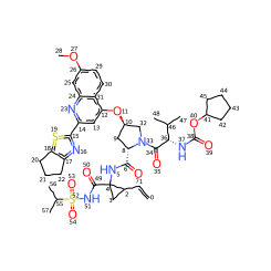 C=CC1CC1(NC(=O)[C@@H]1C[C@@H](Oc2cc(-c3nc4c(s3)CCC4)nc3cc(OC)ccc23)CN1C(=O)[C@@H](NC(=O)OC1CCCC1)C(C)C)C(=O)NS(=O)(=O)C(C)C